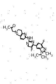 CC(=O)CN1CCc2nc(Nc3ncc(F)c(-c4cc(F)c5nc(C)n(C(C)C)c5c4)n3)ccc2C1